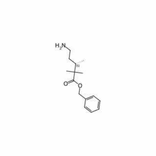 C[C@@H](CCN)C(C)(C)C(=O)OCc1ccccc1